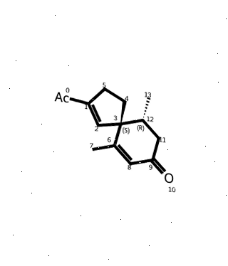 CC(=O)C1=C[C@@]2(CC1)C(C)=CC(=O)C[C@H]2C